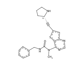 CN(C(=O)NCc1ccccc1)c1ncnc2cc(C#C[C@@H]3CCCN3)sc12